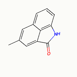 Cc1cc2c3c(cccc3c1)NC2=O